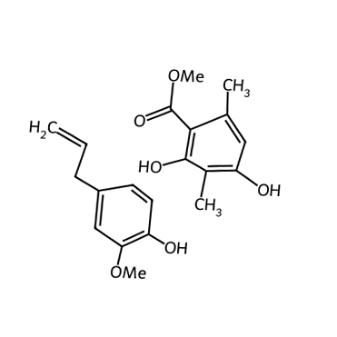 C=CCc1ccc(O)c(OC)c1.COC(=O)c1c(C)cc(O)c(C)c1O